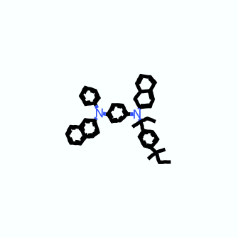 CCC(C)(C)c1ccc(C(C)(CC)N(C2=CC=C3C=CC=CC3C2)c2ccc(N(c3ccccc3)c3ccc4ccccc4c3)cc2)cc1